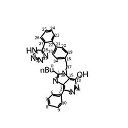 CCCCc1nc2c(-c3ccccc3)nnc(O)c2n1Cc1ccc(-c2ccccc2-c2nnn[nH]2)cc1